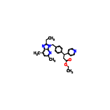 CCOC(=O)CC(c1ccncc1)c1ccc(Cn2c(CC)nc3c(C)cc(C)nc32)cc1